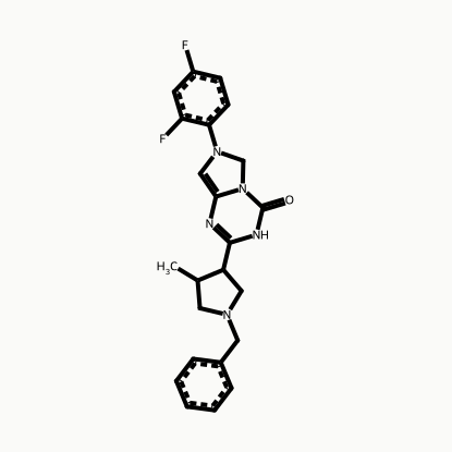 CC1CN(Cc2ccccc2)CC1C1=NC2=CN(c3ccc(F)cc3F)CN2C(=O)N1